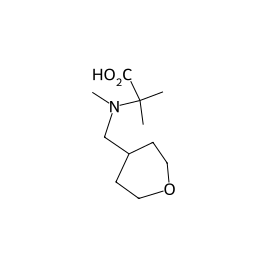 CN(CC1CCOCC1)C(C)(C)C(=O)O